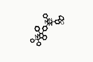 c1ccc(-c2nc(-c3ccc(-c4c(-c5ccccc5)n5nc(-c6ccccc6)c(-c6ccccc6)c5c5ccccc45)cc3)nc(-c3ccc4oc5ccccc5c4c3)n2)cc1